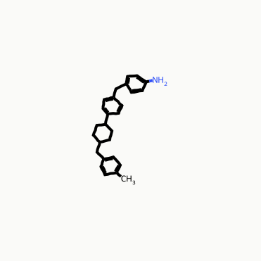 Cc1ccc(CC2CCC(c3ccc(Cc4ccc(N)cc4)cc3)CC2)cc1